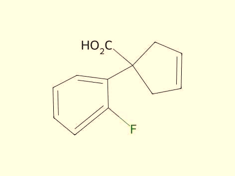 O=C(O)C1(c2ccccc2F)CC=CC1